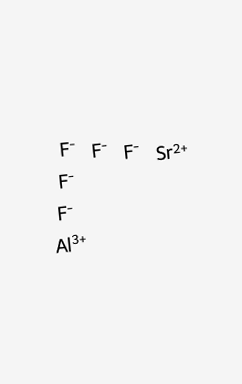 [Al+3].[F-].[F-].[F-].[F-].[F-].[Sr+2]